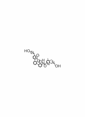 COc1nc(-c2cccc(-c3cccc(NC(=O)c4cc(C)c5c(n4)CN(CCO)CC5)c3Cl)c2Cl)ccc1CN1CC(O)C1